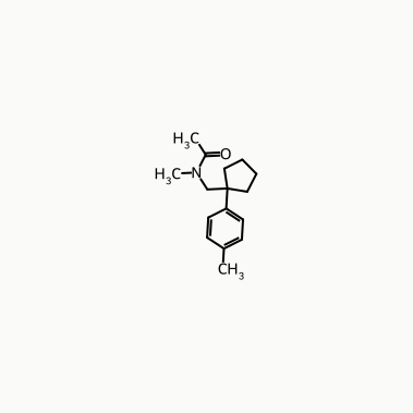 CC(=O)N(C)CC1(c2ccc(C)cc2)CCCC1